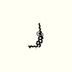 CCCCCCCC(=O)OC1CC[C@]2(C)C3=C(CCC2C1(C)C)[C@]1(C)CC[C@H]([C@H](C)CCC=C(C)C)[C@@]1(C)CC3